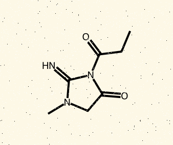 CCC(=O)N1C(=N)N(C)CC1=O